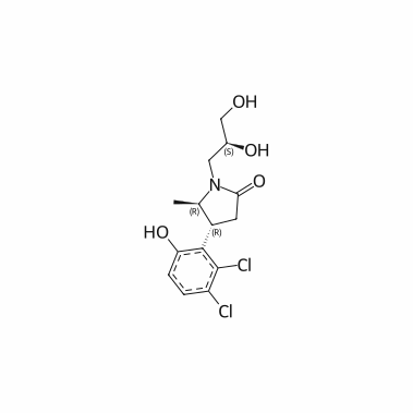 C[C@@H]1[C@@H](c2c(O)ccc(Cl)c2Cl)CC(=O)N1C[C@H](O)CO